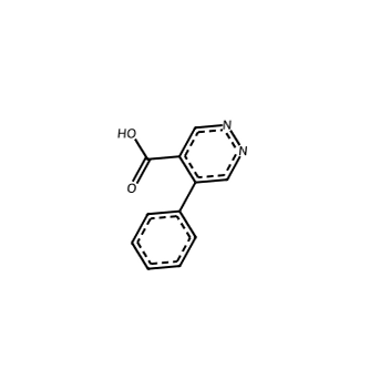 O=C(O)c1cnncc1-c1ccccc1